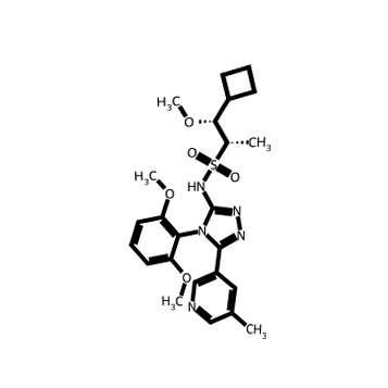 COc1cccc(OC)c1-n1c(NS(=O)(=O)[C@@H](C)[C@H](OC)C2CCC2)nnc1-c1cncc(C)c1